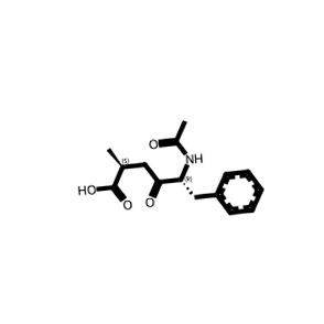 CC(=O)N[C@H](Cc1ccccc1)C(=O)C[C@H](C)C(=O)O